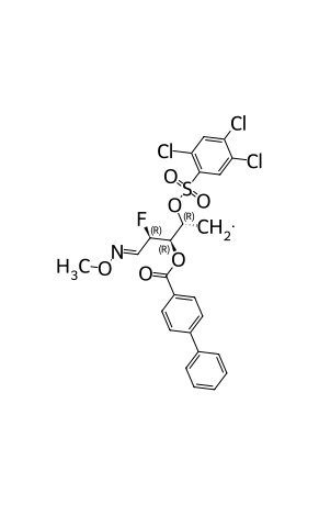 [CH2][C@@H](OS(=O)(=O)c1cc(Cl)c(Cl)cc1Cl)[C@@H](OC(=O)c1ccc(-c2ccccc2)cc1)[C@H](F)C=NOC